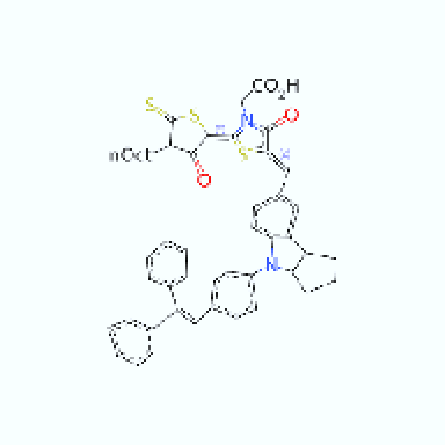 CCCCCCCCC1C(=O)/C(=c2\s/c(=C\c3ccc4c(c3)C3CCCC3N4c3ccc(C=C(c4ccccc4)c4ccccc4)cc3)c(=O)n2CC(=O)O)SC1=S